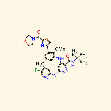 BC(B)(B)NC(=O)c1nnc(Nc2cc(C)c(F)cn2)cc1Nc1cccc(-c2csc(C(=O)N3CCOCC3)n2)c1OC